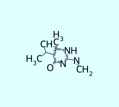 C=Nc1nc(=O)c(C(C)C)c(C)[nH]1